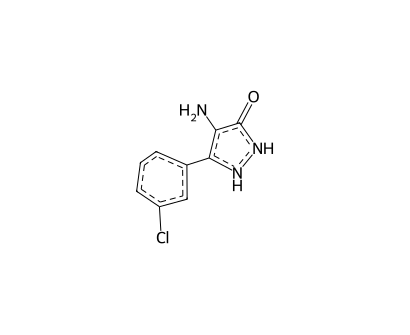 Nc1c(-c2cccc(Cl)c2)[nH][nH]c1=O